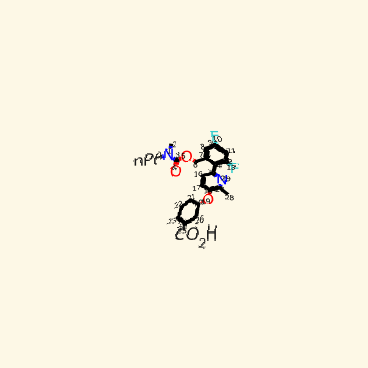 CCCN(C)C(=O)OCc1cc(F)cc(F)c1-c1ccc(O[C@H]2CCC[C@H](C(=O)O)C2)c(C)n1